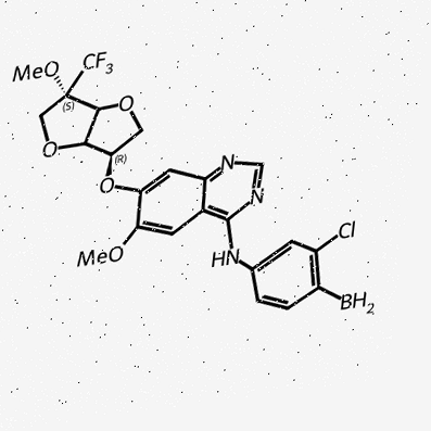 Bc1ccc(Nc2ncnc3cc(O[C@@H]4COC5C4OC[C@@]5(OC)C(F)(F)F)c(OC)cc23)cc1Cl